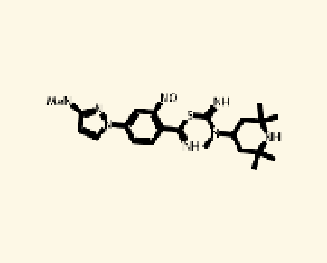 CNc1ccn(-c2ccc(C(=N)SC(=N)N(C)C3CC(C)(C)NC(C)(C)C3)c(N=O)c2)n1